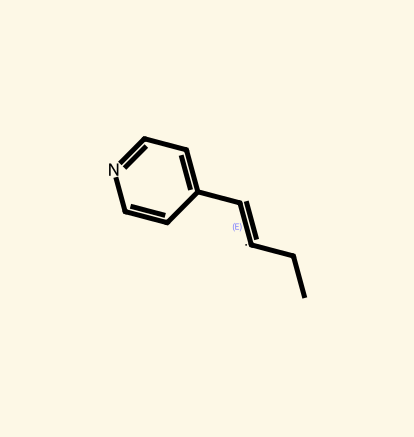 CC/[C]=C/c1ccncc1